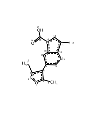 Cc1noc(C)c1-c1cnc2c(I)cn(C(=O)O)c2c1